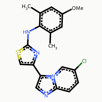 COc1cc(C)c(Nc2nc(-c3cnc4ccc(Cl)cn34)cs2)c(C)c1